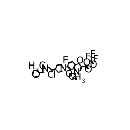 COc1c(N2CCC(=C(Cl)CN(C)Cc3ccccc3)CC2)c(F)cc2c(=O)c(C(=O)OC(=O)C(F)(F)F)cn(C3CC3)c12